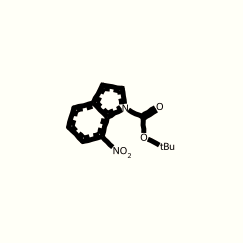 CC(C)(C)OC(=O)n1ccc2cccc([N+](=O)[O-])c21